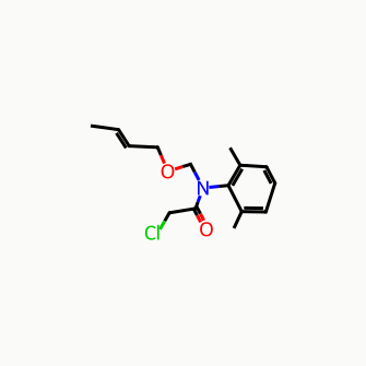 CC=CCOCN(C(=O)CCl)c1c(C)cccc1C